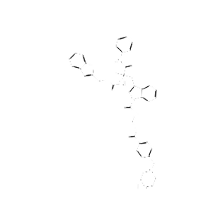 CCN(C(=O)C(C)(Cc1cn(C(=O)OCOC(=O)c2ccc(CN3CCNCC3)cc2)c2ccccc12)NC(=O)OCc1cc2ccccc2o1)c1ccccc1